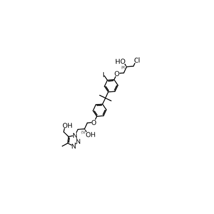 Cc1nnn(C[C@H](O)COc2ccc(C(C)(C)c3ccc(OC[C@@H](O)CCl)c(I)c3)cc2)c1CO